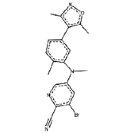 Cc1ccc(-c2c(C)noc2C)cc1N(C)c1cnc(C#N)c(Br)c1